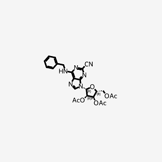 CC(=O)OC[C@H]1O[C@@H](n2cnc3c(NCc4ccccc4)nc(C#N)nc32)[C@H](OC(C)=O)[C@@H]1OC(C)=O